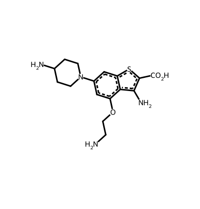 NCCOc1cc(N2CCC(N)CC2)cc2sc(C(=O)O)c(N)c12